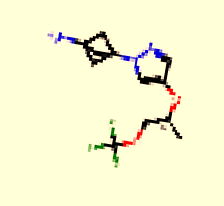 C[C@@H](COC(F)(F)F)Oc1cnn(C23CC(N)(C2)C3)c1